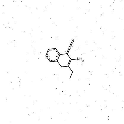 CCC1=C(N)C(=[N+]=[N-])c2ccccc2C1